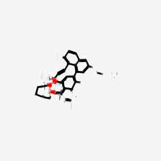 COCOc1cc(-c2ccc3c(N4CC5CCC(C4)N5C(=O)OC(C)(C)C)nc(F)nc3c2F)c2c(C#C[Si](C(C)C)(C(C)C)C(C)C)c(F)ccc2c1